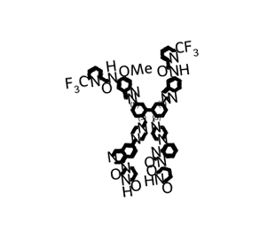 COc1cc2nn([C@H]3CC[C@H](CN4CCN(c5ccc6c(N7CCC(=O)NC7=O)cncc6c5)CC4)C(C4C[C@@H](n5cc6cc(NC(=O)c7cccc(C(F)(F)F)n7)ccc6n5)CC[C@@H]4CN4CCN(c5cccc6c5n(C)c(=O)n6C5CCC(=O)NC5=O)CC4)C3)cc2cc1NC(=O)c1cccc(C(F)(F)F)n1